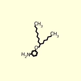 CCCCCCCCC(CCCCCC)COc1cccc(N)c1